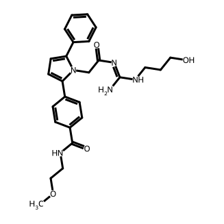 COCCNC(=O)c1ccc(-c2ccc(-c3ccccc3)n2CC(=O)/N=C(\N)NCCCO)cc1